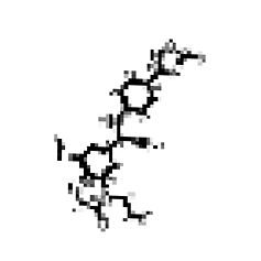 COc1cc(C(C#N)Nc2ccc(-c3noc(C)n3)cc2)cc2c1OCC(=O)N2CCF